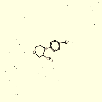 FC(F)(F)C1COCCN1c1ccc(Br)cc1